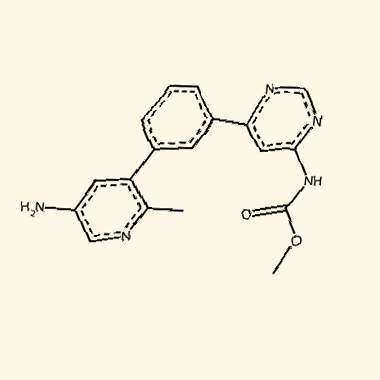 COC(=O)Nc1cc(-c2cccc(-c3cc(N)cnc3C)c2)ncn1